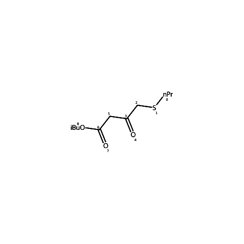 CCCSCC(=O)CC(=O)OCC(C)C